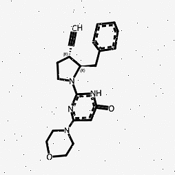 C#C[C@H]1CCN(c2nc(N3CCOCC3)cc(=O)[nH]2)[C@@H]1Cc1ccccc1